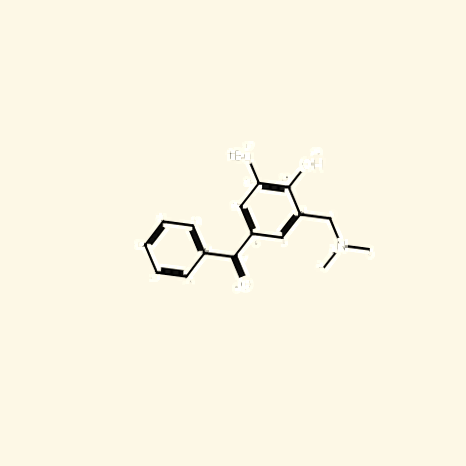 CN(C)Cc1cc(C(=O)c2ccccc2)cc(C(C)(C)C)c1O